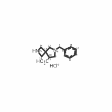 Cl.O=C(O)[C@@H]1CN(Cc2ccccc2)CC12CNC2